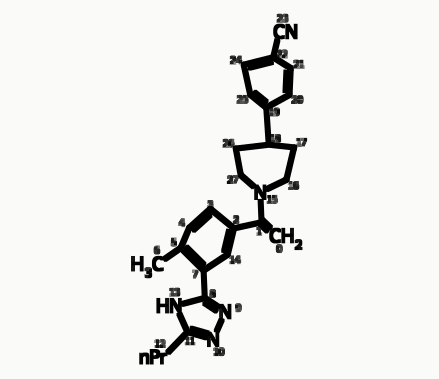 C=C(c1ccc(C)c(-c2nnc(CCC)[nH]2)c1)N1CCC(c2ccc(C#N)cc2)CC1